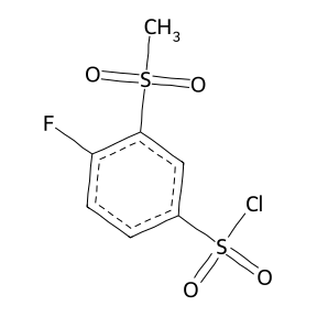 CS(=O)(=O)c1cc(S(=O)(=O)Cl)ccc1F